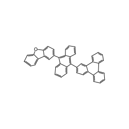 c1ccc2c(c1)oc1ccc(-c3c4ccccc4c(-c4ccc5c6ccccc6c6ccccc6c5c4)c4ccccc34)cc12